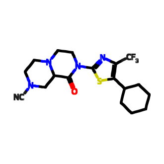 N#CN1CCN2CCN(c3nc(C(F)(F)F)c(C4CCCCC4)s3)C(=O)C2C1